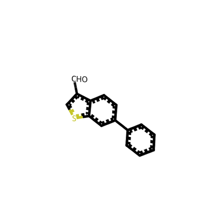 O=Cc1csc2cc(-c3ccccc3)ccc12